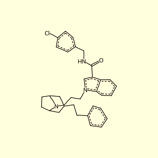 O=C(NCc1ccc(Cl)cc1)c1cn(CCCN2C3CCC2CC(CCc2ccccc2)C3)c2ccccc12